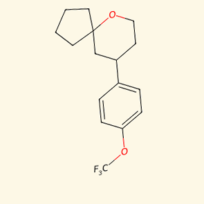 FC(F)(F)Oc1ccc(C2CCOC3(CCCC3)C2)cc1